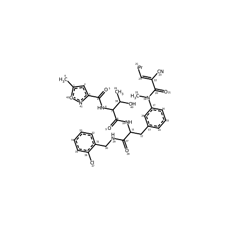 Cc1cc(C(=O)NC(C(=O)NC(Cc2cccc(N(C)C(=O)C(C#N)=CC(C)C)c2)C(=O)NCc2ccccc2Cl)C(C)O)no1